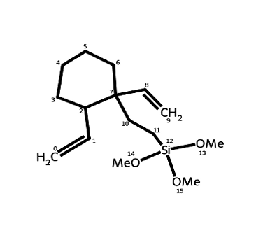 C=CC1CCCCC1(C=C)CC[Si](OC)(OC)OC